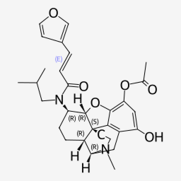 CC(=O)Oc1cc(O)c2c3c1O[C@H]1[C@H](N(CC(C)C)C(=O)/C=C/c4ccoc4)CC[C@H]4[C@@H](C2)N(C)CC[C@@]341